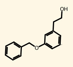 OCCc1c[c]cc(OCc2ccccc2)c1